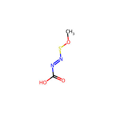 COSN=NC(=O)O